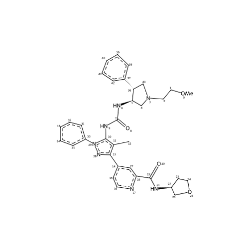 COCCN1C[C@@H](NC(=O)Nc2c(C)c(-c3ccnc(C(=O)N[C@H]4CCOC4)c3)nn2-c2ccccc2)[C@H](c2ccccc2)C1